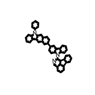 c1ccc(-n2c3ccccc3c3cc4cc(-c5ccc6c(c5)c5ccccc5n6-c5ncc6cccc7c6c5-c5ccccc5-7)ccc4cc32)cc1